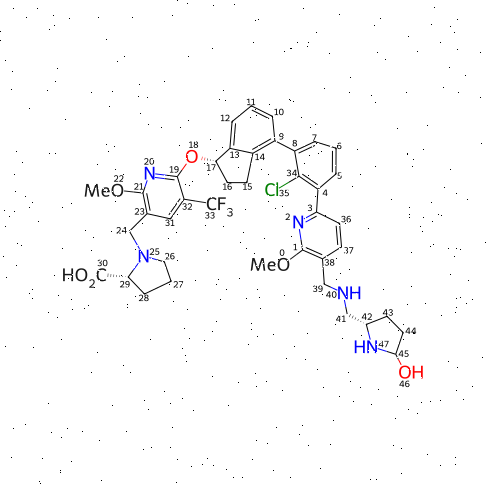 COc1nc(-c2cccc(-c3cccc4c3CC[C@@H]4Oc3nc(OC)c(CN4CCC[C@@H]4C(=O)O)cc3C(F)(F)F)c2Cl)ccc1CNC[C@@H]1CCC(O)N1